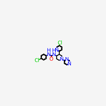 O=C(Nc1ccc(Cl)cc1)NC1CCN(c2ccncn2)CC1c1ccc(Cl)cn1